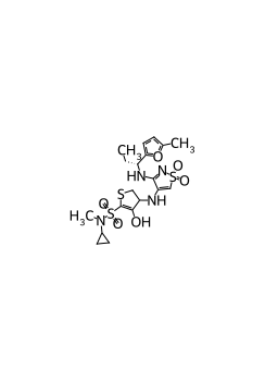 CC[C@@H](NC1=NS(=O)(=O)C=C1NC1CSC(S(=O)(=O)N(C)C2CC2)=C1O)c1ccc(C)o1